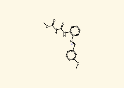 COC(=O)NC(=S)Nc1ccccc1/N=C/c1cccc(OC)c1